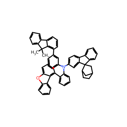 CC1(C)c2ccccc2-c2cccc(-c3cccc(N(c4ccc5c(c4)C4(CC6CCC4C6)c4ccccc4-5)c4ccccc4-c4cccc5oc6ccccc6c45)c3)c21